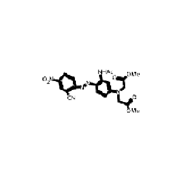 COC(=O)CN(CC(=O)OC)c1ccc(/N=N/c2ccc([N+](=O)[O-])cc2C#N)c(NC(C)=O)c1